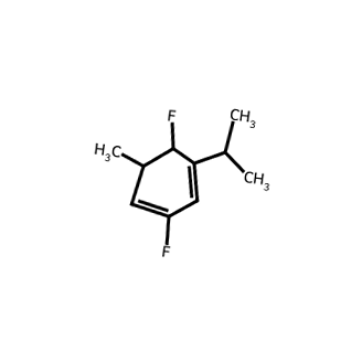 CC(C)C1=CC(F)=CC(C)C1F